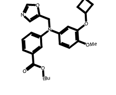 COc1ccc(N(Cc2cnco2)c2cccc(C(=O)OC(C)(C)C)c2)cc1OC1CCC1